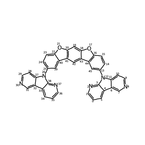 c1cnc2c(c1)c1cnccc1n2-c1ccc2oc3cc4oc5ccc(-n6c7ccncc7c7cccnc76)cc5c4cc3c2c1